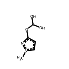 Cn1ccc(OB(O)O)n1